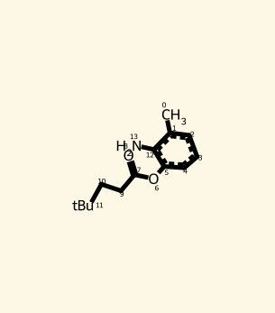 Cc1cccc(OC(=O)CCC(C)(C)C)c1N